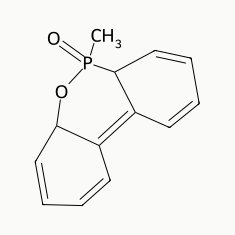 CP1(=O)OC2C=CC=CC2=C2C=CC=CC21